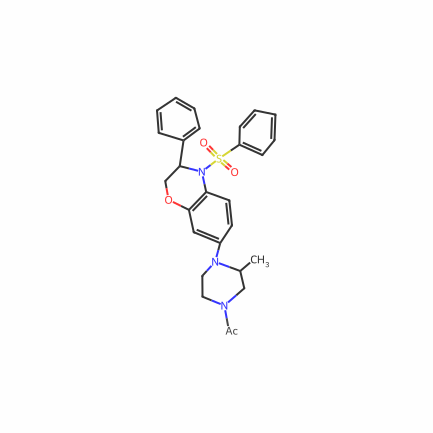 CC(=O)N1CCN(c2ccc3c(c2)OCC(c2ccccc2)N3S(=O)(=O)c2ccccc2)C(C)C1